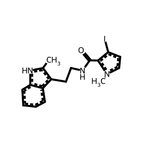 Cc1[nH]c2ccccc2c1CCNC(=O)c1c(I)ccn1C